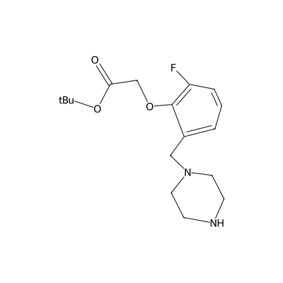 CC(C)(C)OC(=O)COc1c(F)cccc1CN1CCNCC1